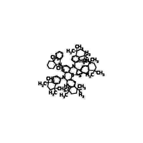 CC1(C)CCC(C)(C)c2cc(N3c4cc5c(cc4B4c6sc7cc8c(cc7c6N(c6ccc7c(c6)C(C)(C)CCC7(C)C)c6cc(N7c9ccccc9C9(C)CCCCC79C)cc3c64)C(C)(C)CCC8(C)C)C(C)(C)CCC5(C)C)ccc21